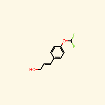 OC/C=C/c1ccc(OC(F)F)cc1